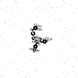 O=C(O)c1c(F)ccc2c1OB(O)[C@@H](NC(=O)C(NC(=O)N1CCN(C3CCN(C(=O)c4cc(O)c(O)c(Cl)c4)CC3)C1=O)c1ccc(P(=O)(O)O)cc1)C2